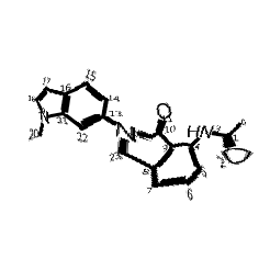 CC(=O)Nc1cccc2c1C(=O)N(c1ccc3ccn(C)c3c1)C2